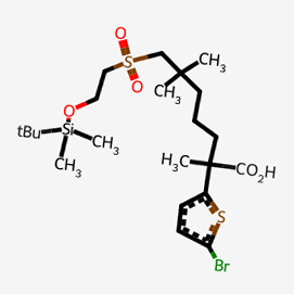 CC(C)(CCCC(C)(C(=O)O)c1ccc(Br)s1)CS(=O)(=O)CCO[Si](C)(C)C(C)(C)C